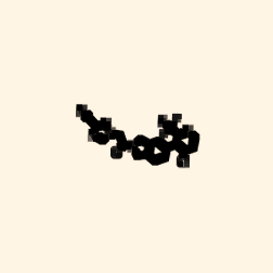 N#Cc1ncn(CC(=O)N2Cc3ccc(-c4c(Cl)ccnc4C(F)(F)F)cc3C2)n1